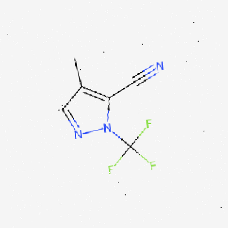 Cc1[c]nn(C(F)(F)F)c1C#N